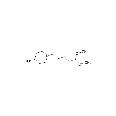 COC(CCCCN1CCC(O)CC1)OC